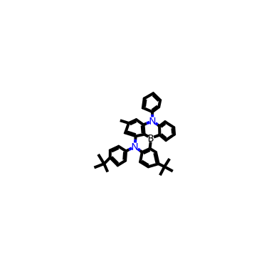 Cc1cc2c3c(c1)N(c1ccc(C(C)(C)C)cc1)c1ccc(C(C)(C)C)cc1B3c1ccccc1N2c1ccccc1